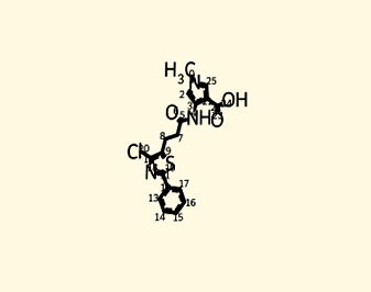 Cn1cc(NC(=O)CCc2sc(-c3ccccc3)nc2Cl)c(C(=O)O)c1